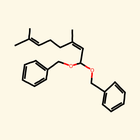 CC(C)=CCCC(C)=CC(OCc1ccccc1)OCc1ccccc1